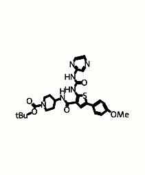 COc1ccc(-c2cc(C(=O)NC3CCN(C(=O)OC(C)(C)C)CC3)c(NC(=O)Nc3cnccn3)s2)cc1